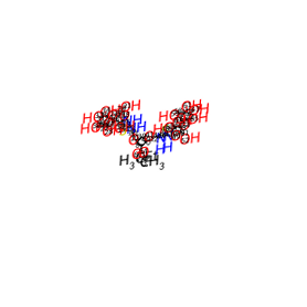 CCC(C)(C)OC(=O)c1cc(OCCNC(=S)NC2OC(CO)C(OC3OC(CO)C(O)C(O)C3O)C(O)C2O)cc(OCCNC(=S)NC2OC(CO)C(OC3OC(CO)C(O)C(O)C3O)C(O)C2O)c1